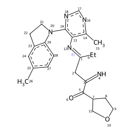 CC/C(CC(=N)C(=O)C1CCOC1)=N\c1c(C)ncnc1N1CCc2cc(C)ccc21